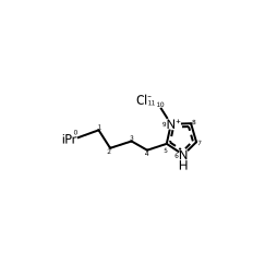 CC(C)CCCCc1[nH]cc[n+]1C.[Cl-]